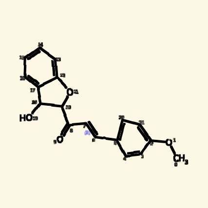 COc1ccc(/C=C/C(=O)C2Oc3ccccc3C2O)cc1